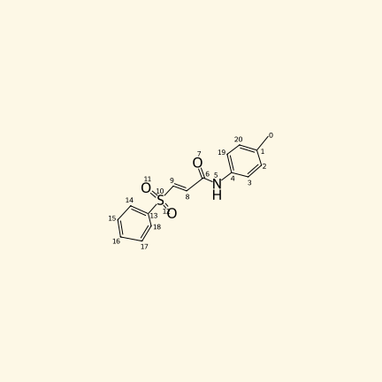 Cc1ccc(NC(=O)C=CS(=O)(=O)c2ccccc2)cc1